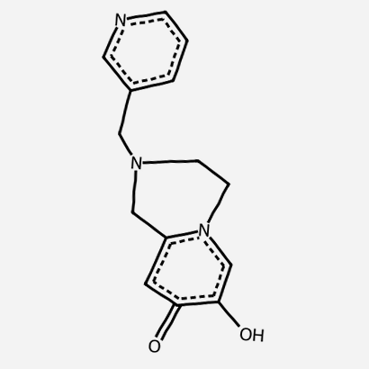 O=c1cc2n(cc1O)CCN(Cc1cccnc1)C2